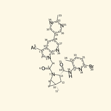 CC(=O)c1cn(CC(=O)N2C3C[C@]3(C)C[C@H]2C(=O)Nc2nc(Br)ccc2C)c2ncc(-c3cnc(C)nc3)cc12